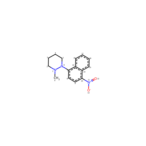 CN1CCCCN1c1ccc([N+](=O)[O-])c2ccccc12